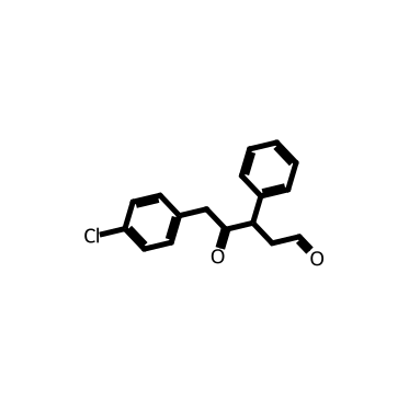 O=CCC(C(=O)Cc1ccc(Cl)cc1)c1ccccc1